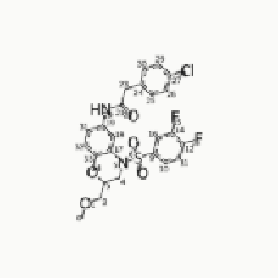 COCC1CN(S(=O)(=O)c2ccc(F)c(F)c2)c2cc(NC(=O)Cc3ccc(Cl)cc3)ccc2O1